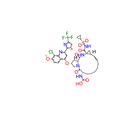 COc1ccc2c(O[C@@H]3C[C@H]4C(=O)N[C@]5(C(=O)NS(=O)(=O)C6CC6)C[C@H]5/C=C\CCCCC[C@H](NC(=O)O)C(=O)N4C3)cc(-c3nc(C(F)(F)F)cs3)nc2c1Cl